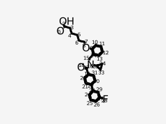 O=C(O)CCCCCOc1ccccc1CN(C(=O)c1ccc(-c2cccc(F)c2)cc1)C1CC1